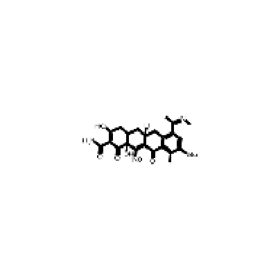 C/N=C(/C)c1cc(C(C)(C)C)c(C)c2c1C[C@H]1CC3CC(O)=C(C(N)=O)C(=O)[C@@]3(O)C(N=O)=C1C2=O